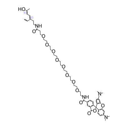 C=C/C(=C\C=C(/C)O)CCNC(=O)CCOCCOCCOCCOCCOCCOCCOCCOCCNC(=O)c1ccc2c(c1)C(=O)OC21c2ccc(N(C)C)cc2Oc2cc(N(C)C)ccc21